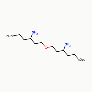 CCCCCCCCCCCCC(N)CCOCCC(N)CCCCCCCCCCCC